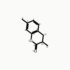 Cc1ccc2c(c1)OC(=O)C(C)C2